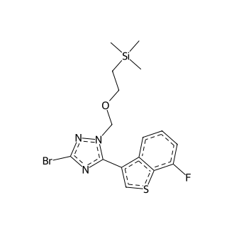 C[Si](C)(C)CCOCn1nc(Br)nc1-c1csc2c(F)cccc12